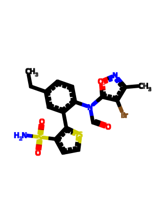 CCc1ccc(N(C=O)c2onc(C)c2Br)c(-c2sccc2S(N)(=O)=O)c1